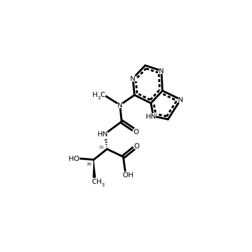 C[C@@H](O)[C@H](NC(=O)N(C)c1ncnc2nc[nH]c12)C(=O)O